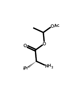 CC(=O)OC(C)OC(=O)[C@H](N)C(C)C